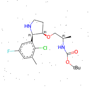 Cc1cc(F)cc([C@H]2NCC[C@H]2OC[C@@H](C)NC(=O)OC(C)(C)C)c1Cl